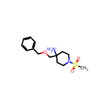 CS(=O)(=O)N1CCC(N)(COCc2ccccc2)CC1